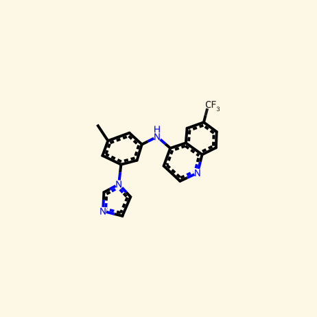 Cc1cc(Nc2ccnc3ccc(C(F)(F)F)cc23)cc(-n2ccnc2)c1